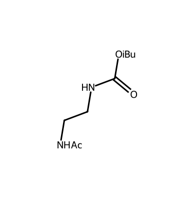 CC(=O)NCCNC(=O)OCC(C)C